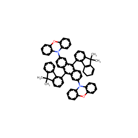 CC1(C)C2=C(CCC=C2)c2c(-c3c4cc(N5c6ccccc6Oc6ccccc65)ccc4c(-c4cccc5c4-c4ccccc4C5(C)C)c4cc(N5c6ccccc6Oc6ccccc65)ccc34)cccc21